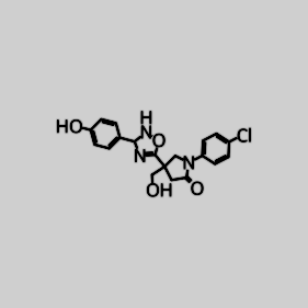 O=C1CC(CO)(C2=NC(c3ccc(O)cc3)NO2)CN1c1ccc(Cl)cc1